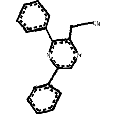 N#CCc1ncc(-c2ccccc2)nc1-c1ccccc1